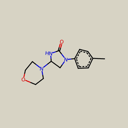 Cc1ccc(N2CC(N3CCOCC3)NC2=O)cc1